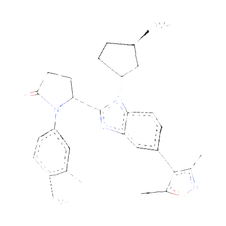 COc1ccc(N2C(=O)CCC2c2nc3cc(-c4c(C)noc4C)ccc3n2[C@@H]2CC[C@@H](OC)C2)cc1Cl